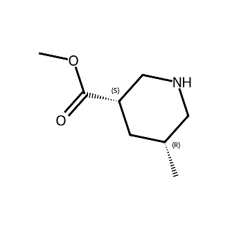 COC(=O)[C@@H]1CNC[C@H](C)C1